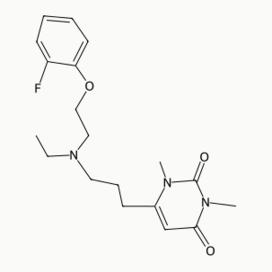 CCN(CCCc1cc(=O)n(C)c(=O)n1C)CCOc1ccccc1F